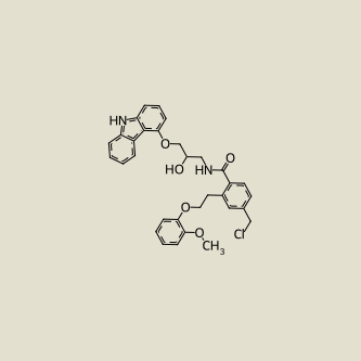 COc1ccccc1OCCc1cc(CCl)ccc1C(=O)NCC(O)COc1cccc2[nH]c3ccccc3c12